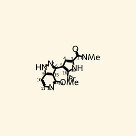 CNC(=O)c1cc(-c2n[nH]c3ccnc(OC)c23)c(C(C)C)[nH]1